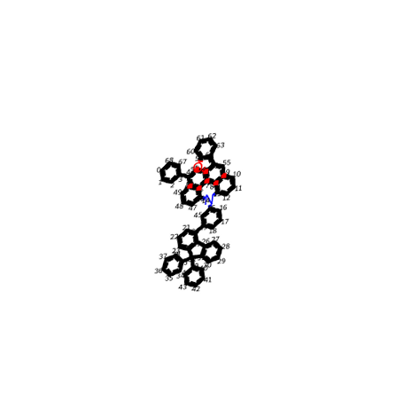 c1ccc(-c2ccc(-c3ccccc3N(c3cccc(-c4cccc5c4-c4ccccc4C5(c4ccccc4)c4ccccc4)c3)c3ccccc3-c3cccc4c3oc3ccccc34)cc2)cc1